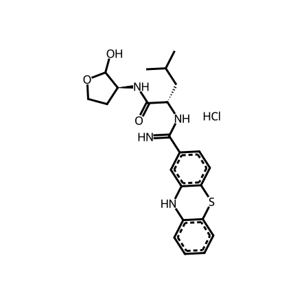 CC(C)C[C@H](NC(=N)c1ccc2c(c1)Nc1ccccc1S2)C(=O)N[C@H]1CCOC1O.Cl